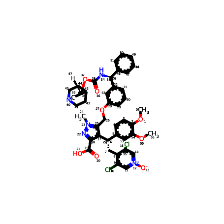 COc1ccc([C@H](Cc2c(Cl)c[n+]([O-])cc2Cl)c2c(C(=O)O)nn(C)c2COc2cccc([C@@H](NC(=O)O[C@H]3CN4CCC3CC4)c3ccccc3)c2)cc1OC